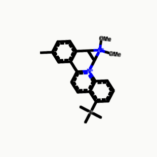 CO[N+]1(OC)C2c3ccc(C)cc3-c3ccc4c([Si](C)(C)C)cccc4[n+]3C21